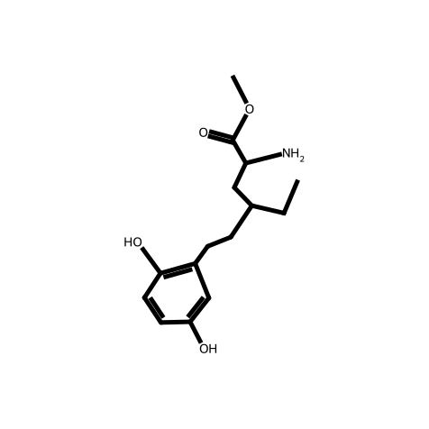 CCC(CCc1cc(O)ccc1O)CC(N)C(=O)OC